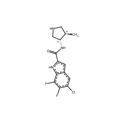 C[C@@H]1CNC[C@H]1NC(=O)c1cc2cc(Cl)c(F)c(F)c2[nH]1